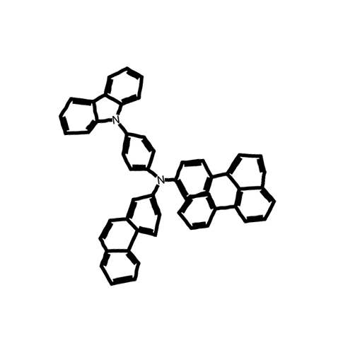 c1ccc(-c2cccc3cccc(-c4ccc(N(c5ccc(-n6c7ccccc7c7ccccc76)cc5)c5ccc6c(ccc7ccccc76)c5)cc4)c23)cc1